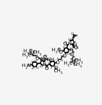 COc1cc2c(cc1OCCCOc1cc3c(cc1OC)C(=O)N1C=C(C4CC4)C[C@H]1C(=O)N3COCC[Si](C)(C)C)NC(=O)[C@@H]1C(COCC[Si](C)(C)C)C(c3ccc(N)cc3)=CN1C2=O